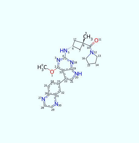 COc1nc(N[C@H]2C[C@@](C)(C(=O)N3CCCC3)C2)nc2[nH]cc(-c3ccc4nccnc4c3)c12